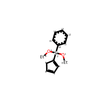 CCO[Si](OCC)(C1=CC=CC1)c1ccccc1